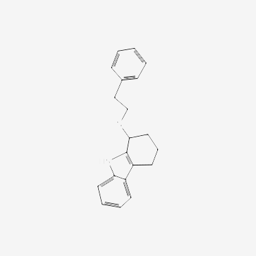 c1ccc(CCNC2CCCc3c2[nH]c2ccccc32)cc1